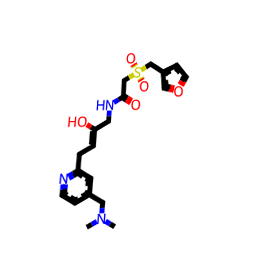 CN(C)Cc1ccnc(CC=C(O)CNC(=O)CS(=O)(=O)Cc2ccoc2)c1